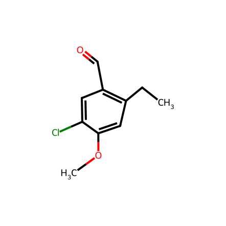 CCc1cc(OC)c(Cl)cc1C=O